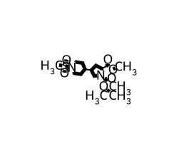 COC(=O)[C@@H]1C[C@H](C2CCN(S(C)(=O)=O)CC2)CN1C(=O)OC(C)(C)C